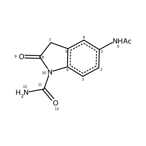 CC(=O)Nc1ccc2c(c1)CC(=O)N2C(N)=O